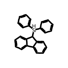 c1ccc([SiH](c2ccccc2)C2c3ccccc3-c3ccccc32)cc1